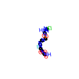 O=C1CCC(N2Cc3cc(N4CCN(CC5CCN(c6cccc(S(=O)(=O)N7CCC(Nc8ncc(Cl)cn8)CC7)c6)CC5)CC4)c(F)cc3C2=O)C(=O)N1